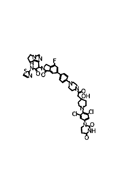 O=C1CCN(c2cc(Cl)c(N3CCC(O)(CC(=O)N4CCN(c5ccc(-c6cc(F)c7c(c6)C(=O)N(C(C(=O)Nc6nccs6)c6ncn8c6CCC8)C7)cc5)CC4)CC3)c(Cl)c2)C(=O)N1